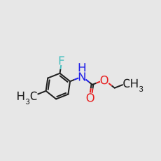 CCOC(=O)Nc1ccc(C)cc1F